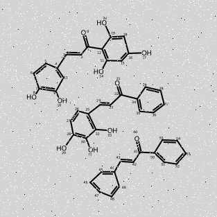 O=C(C=Cc1ccc(O)c(O)c1)c1c(O)cc(O)cc1O.O=C(C=Cc1ccc(O)c(O)c1O)c1ccccc1.O=C(C=Cc1ccccc1)c1ccccc1